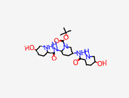 CC(C)(C)OC(=O)N1C[C@@H](NC(=O)C2CCC(O)CN2)CCC1NC(=O)C1CCC(O)CN1